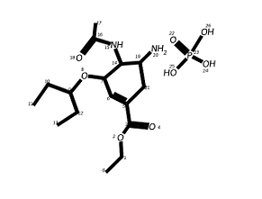 CCOC(=O)C1=CC(OC(CC)CC)C(NC(C)=O)C(N)C1.O=P(O)(O)O